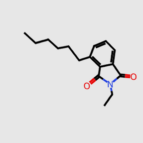 CCCCCCc1cccc2c1C(=O)N(CC)C2=O